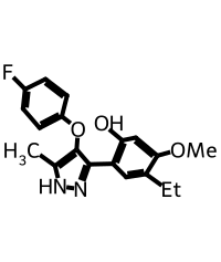 CCc1cc(-c2n[nH]c(C)c2Oc2ccc(F)cc2)c(O)cc1OC